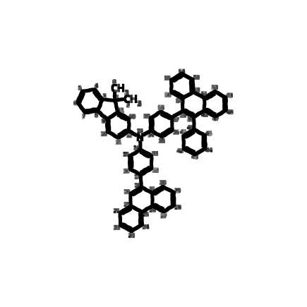 CC1(C)c2ccccc2-c2ccc(N(c3ccc(-c4cc5ccccc5c5ccccc45)cc3)c3ccc(-c4c(-c5ccccc5)c5ccccc5c5ccccc45)cc3)cc21